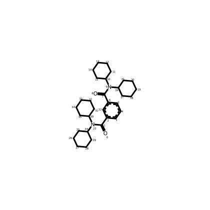 O=C(c1cccc(C(=O)N(C2CCCCC2)C2CCCCC2)c1)N(C1CCCCC1)C1CCCCC1